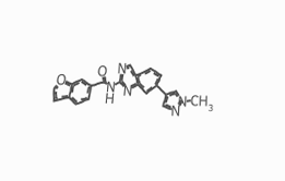 Cn1cc(-c2ccc3cnc(NC(=O)c4ccc5ccoc5c4)nc3c2)cn1